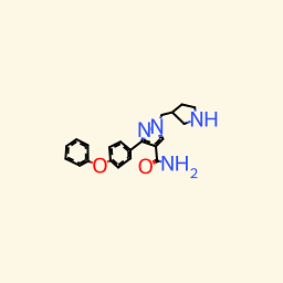 NC(=O)c1cn(CC2CCNC2)nc1-c1ccc(Oc2ccccc2)cc1